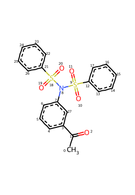 CC(=O)c1cccc(N(S(=O)(=O)c2ccccc2)S(=O)(=O)c2ccccc2)c1